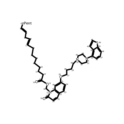 CCCCCC=CCC=CCCCCCCCC(=O)OCn1c(=O)ccc2ccc(OCCCCN3CCN(c4cccc5sccc45)CC3)cc21